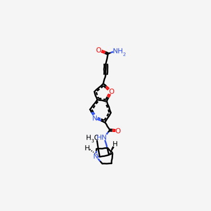 C[C@H]1[C@H](NC(=O)c2cc3oc(C#CC(N)=O)cc3cn2)C2CCN1CC2